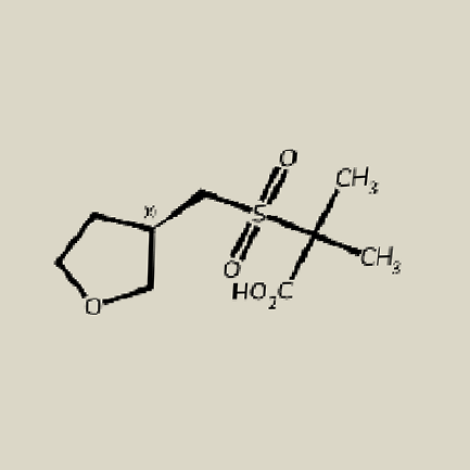 CC(C)(C(=O)O)S(=O)(=O)C[C@@H]1CCOC1